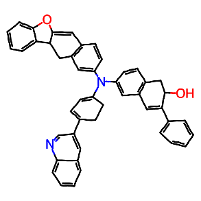 OC1Cc2ccc(N(C3=CC=C(c4cnc5ccccc5c4)CC3)c3ccc4c(c3)CC3C(=C4)Oc4ccccc43)cc2C=C1c1ccccc1